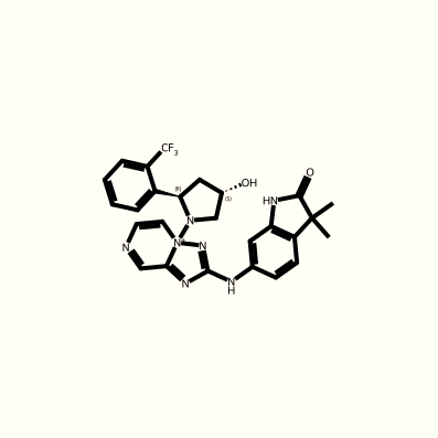 CC1(C)C(=O)Nc2cc(NC3=N[N+]4(N5C[C@@H](O)C[C@@H]5c5ccccc5C(F)(F)F)C=CN=CC4=N3)ccc21